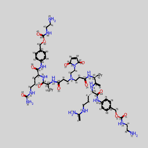 C=C(N)NCCC[C@H](NC(=C)[C@@H](NC(=O)CCN(CCC(=O)N[C@H](C(=O)NC(CCCNC(N)=O)C(=O)Nc1ccc(COC(=O)NCCN)cc1)C(C)C)CCN1C(=O)C=CC1=O)C(C)C)C(=O)Nc1ccc(COC(=O)NCCN)cc1